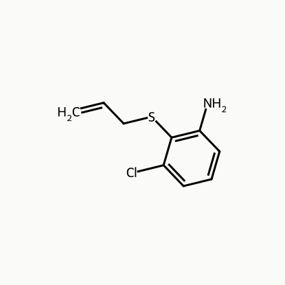 C=CCSc1c(N)cccc1Cl